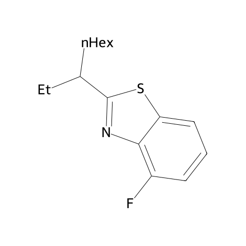 CCCCCCC(CC)c1nc2c(F)cccc2s1